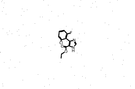 CCOC(=O)c1[nH]cnc1-c1c(F)cccc1Cl